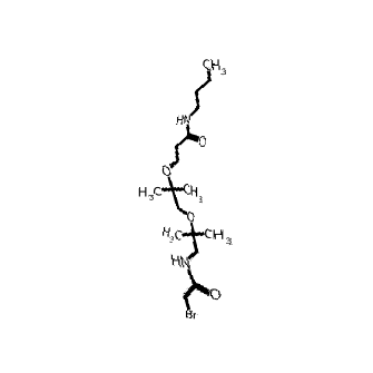 CCCCNC(=O)CCOC(C)(C)COC(C)(C)CNC(=O)CBr